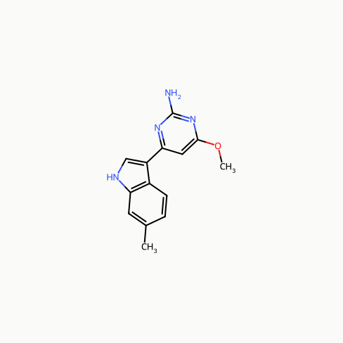 COc1cc(-c2c[nH]c3cc(C)ccc23)nc(N)n1